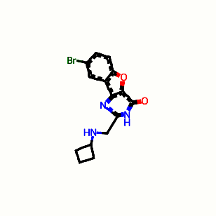 O=c1[nH]c(CNC2CCC2)nc2c1oc1ccc(Br)cc12